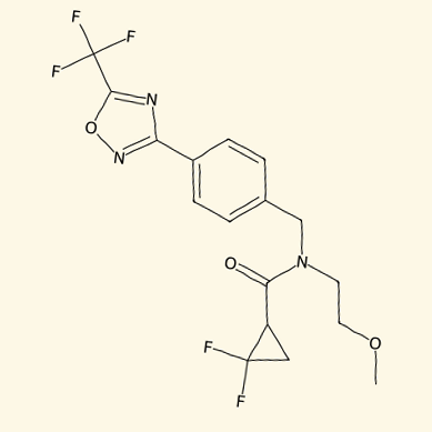 COCCN(Cc1ccc(-c2noc(C(F)(F)F)n2)cc1)C(=O)C1CC1(F)F